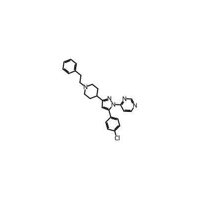 Clc1ccc(-c2cc(C3CCN(CCc4ccccc4)CC3)nn2-c2ccncn2)cc1